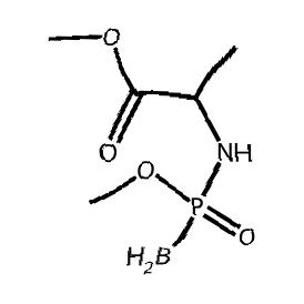 BP(=O)(NC(C)C(=O)OC)OC